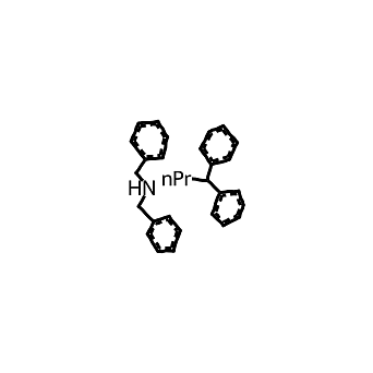 CCCC(c1ccccc1)c1ccccc1.c1ccc(CNCc2ccccc2)cc1